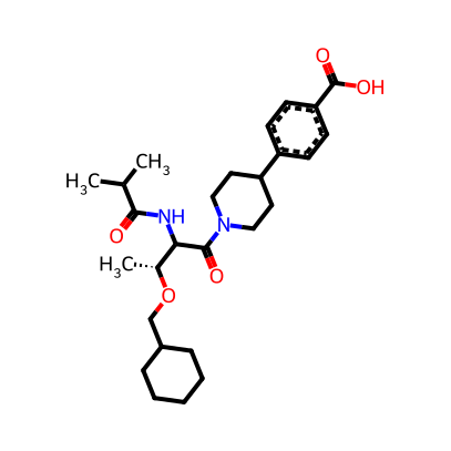 CC(C)C(=O)NC(C(=O)N1CCC(c2ccc(C(=O)O)cc2)CC1)[C@@H](C)OCC1CCCCC1